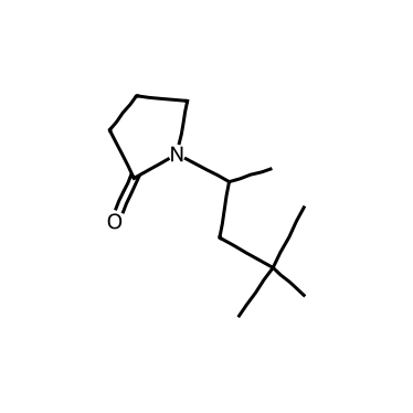 CC(CC(C)(C)C)N1CCCC1=O